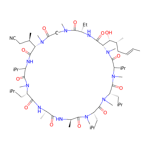 C/C=C/C[C@@H](C)[C@@H](O)[C@H]1C(=O)N[C@@H](CC)C(=O)N(C)CC(=O)N(C)[C@@H]([C@H](C)CC#N)C(=O)NC(C(C)C)C(=O)N(C)[C@@H](CC(C)C)C(=O)N[C@@H](C)C(=O)N[C@H](C)C(=O)N(C)[C@@H](CC(C)C)C(=O)N(C)[C@@H](CC(C)C)C(=O)N(C)C(C(C)C)C(=O)N1C